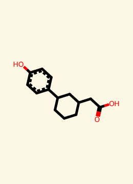 O=C(O)CC1CCCC(c2ccc(O)cc2)C1